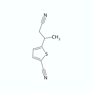 CC(CC#N)c1ccc(C#N)s1